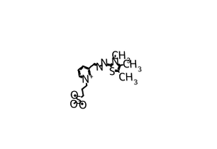 Cc1s/c(=N\N=C\c2ccc[n+](CCCS(=O)(=O)[O-])c2)n(C)c1C